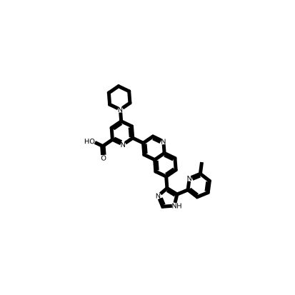 Cc1cccc(-c2[nH]cnc2-c2ccc3ncc(-c4cc(N5CCCCC5)cc(C(=O)O)n4)cc3c2)n1